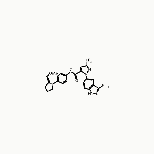 CO/N=C1/CCCN1c1ccc(NC(=O)c2cc(C(F)(F)F)nn2-c2ccc3[nH]nc(N)c3c2)cc1